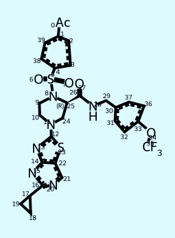 CC(=O)c1ccc(S(=O)(=O)N2CCN(c3nc4nc(C5CC5)ncc4s3)C[C@@H]2C(=O)NCc2ccc(OC(F)(F)F)cc2)cc1